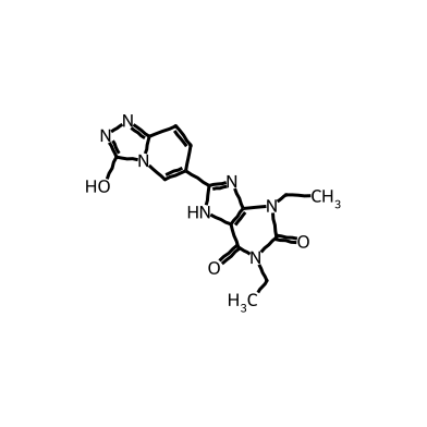 CCn1c(=O)c2[nH]c(-c3ccc4nnc(O)n4c3)nc2n(CC)c1=O